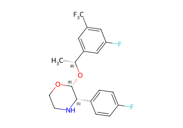 C[C@@H](O[C@H]1OCCN[C@H]1c1ccc(F)cc1)c1cc(F)cc(C(F)(F)F)c1